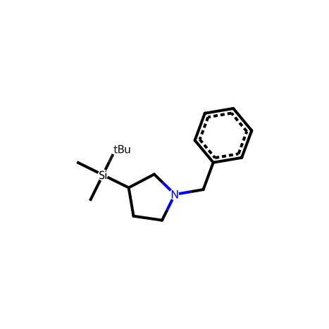 CC(C)(C)[Si](C)(C)C1CCN(Cc2ccccc2)C1